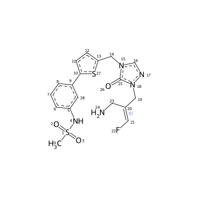 CS(=O)(=O)Nc1cccc(-c2ccc(Cn3cnn(C/C(=C/F)CN)c3=O)s2)c1